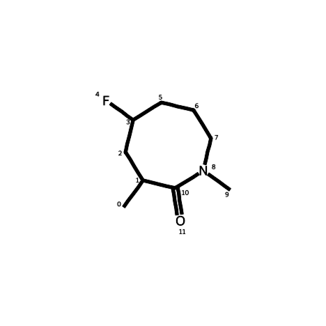 CC1CC(F)CCCN(C)C1=O